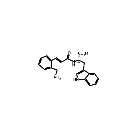 NCc1ccccc1C=CC(=O)N[C@@H](Cc1c[nH]c2ccccc12)C(=O)O